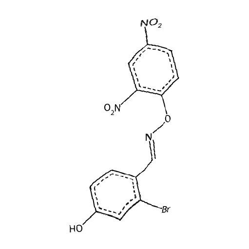 O=[N+]([O-])c1ccc(ON=Cc2ccc(O)cc2Br)c([N+](=O)[O-])c1